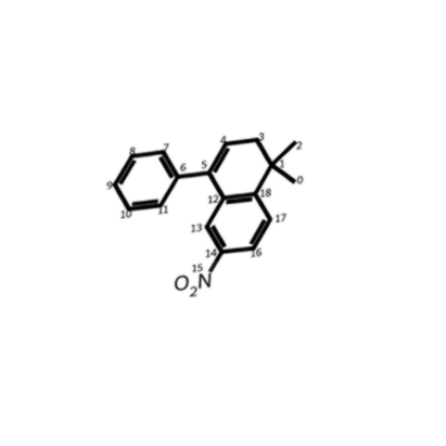 CC1(C)CC=C(c2ccccc2)c2cc([N+](=O)[O-])ccc21